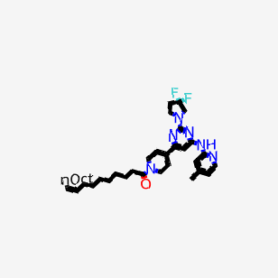 CCCCCCCC/C=C\CCCCCCCC(=O)N1CCC(c2cc(Nc3cc(C)ccn3)nc(N3CCC(F)(F)C3)n2)CC1